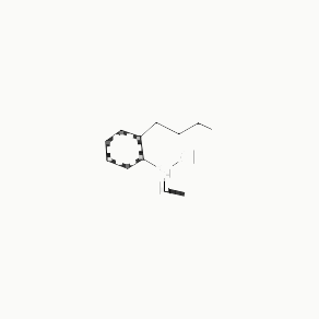 C=C[SiH](Cl)c1ccccc1CCCC